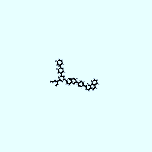 C=C/C=C(\C=C)c1nc(C2=CCC(c3ccccc3)C=C2)cc(-c2ccc3cc(-c4ccc(-c5ccc6ccc7cccnc7c6n5)cc4)ccc3n2)n1